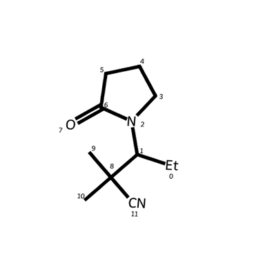 CCC(N1CCCC1=O)C(C)(C)C#N